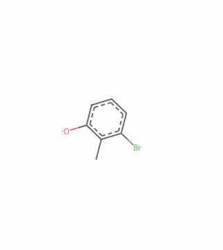 Cc1c([O])cccc1Br